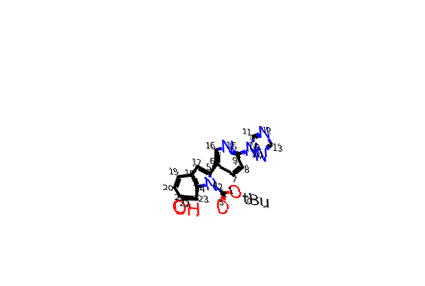 CC(C)(C)OC(=O)n1c(-c2ccc(-n3cncn3)nc2)cc2ccc(O)cc21